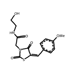 COc1ccc(C=C2SC(=O)N(CC(=O)NCCO)C2=O)cc1